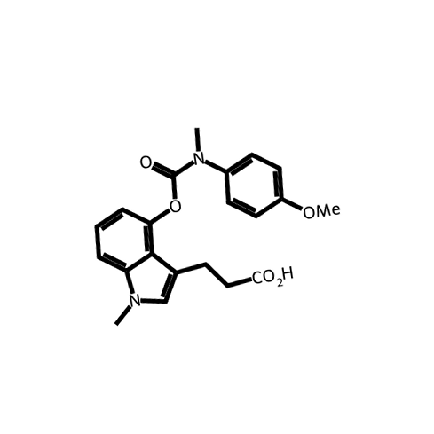 COc1ccc(N(C)C(=O)Oc2cccc3c2c(CCC(=O)O)cn3C)cc1